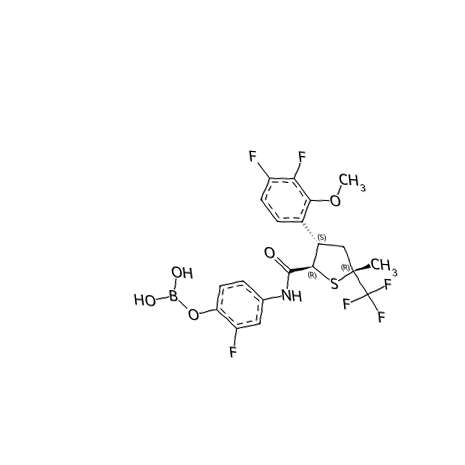 COc1c([C@@H]2C[C@](C)(C(F)(F)F)S[C@H]2C(=O)Nc2ccc(OB(O)O)c(F)c2)ccc(F)c1F